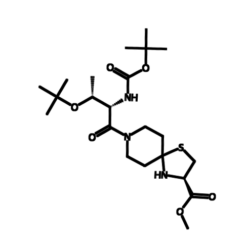 COC(=O)[C@@H]1CSC2(CCN(C(=O)[C@@H](NC(=O)OC(C)(C)C)[C@@H](C)OC(C)(C)C)CC2)N1